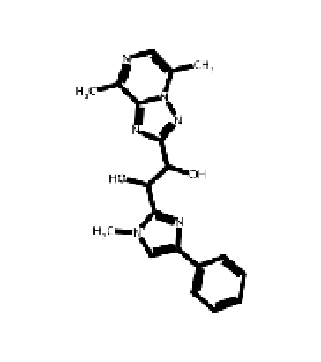 Cc1ncc(C)n2nc(C(O)C(O)c3nc(-c4ccccc4)cn3C)nc12